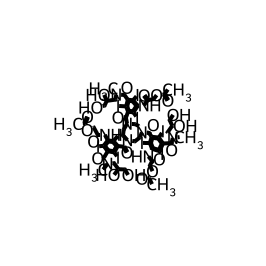 CC(=O)OCC(=O)Nc1c(I)c(C(=O)N(C)CC(O)CO)c(I)c(C(=O)N2CCN(C(=O)c3c(I)c(NC(=O)COC(C)=O)c(I)c(C(=O)N(C)CC(O)CO)c3I)CCN(C(=O)c3c(I)c(NC(=O)COC(C)=O)c(I)c(C(=O)N(C)CC(O)CO)c3I)CC2)c1I